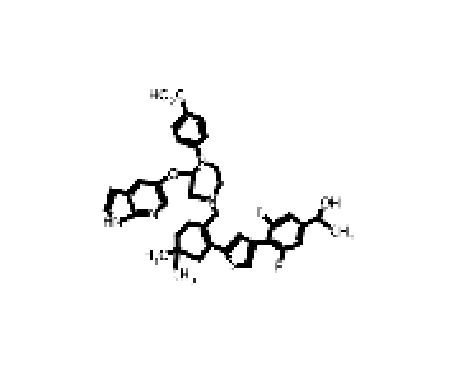 CC(O)c1cc(F)c(-c2csc(C3=C(CN4CCN(c5ccc(C(=O)O)cc5)C(Oc5cnc6[nH]ccc6c5)C4)CCC(C)(C)C3)c2)c(F)c1